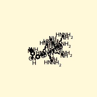 N=C(N)NCCC[C@H](NC(=O)[C@H](CCCNC(=N)N)NC(=O)[C@H](CCCNC(=N)N)NC(=O)[C@H](CCCNC(=N)N)NC(=O)[C@H](CCCNC(=N)N)NC(=O)c1ccc(NC(=O)c2ccc3[nH]nnc3c2)cc1)C(N)=O